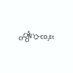 CCOC(=O)Cc1cccc(Cc2nc3c(Cl)c(Cl)ccc3s2)c1